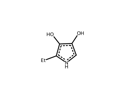 CCc1[nH]cc(O)c1O